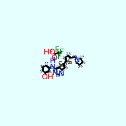 O=C(O)C(F)(F)F.Oc1cccc(Nc2ncnc3cc(-c4ccc(CN5CCCC5)s4)sc23)c1